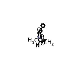 CCN1C(=O)C(C#N)=C(C)/C(=C/c2cc3oc(-c4ccccc4)cc3s2)C1=O